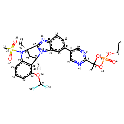 CCOP1(=O)OC(C)(c2ncc(-c3ccc4nc5n(c4c3)[C@@H]3C[C@H]5N(S(C)(=O)=O)c4cccc(OC(F)F)c43)cn2)O1